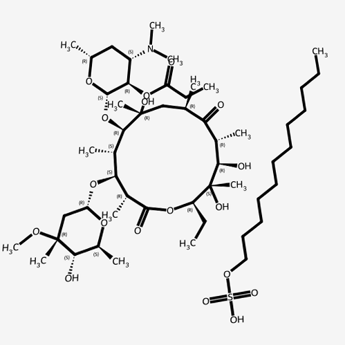 CCC(=O)O[C@H]1[C@H](O[C@@H]2[C@@H](C)[C@H](O[C@H]3C[C@@](C)(OC)[C@@H](O)[C@H](C)O3)[C@@H](C)C(=O)O[C@H](CC)[C@@](C)(O)[C@H](O)[C@@H](C)C(=O)[C@H](C)C[C@@]2(C)O)O[C@H](C)C[C@@H]1N(C)C.CCCCCCCCCCCCOS(=O)(=O)O